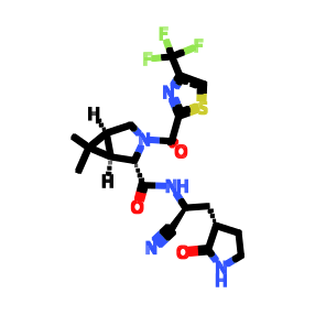 CC1(C)[C@@H]2[C@@H](C(=O)N[C@H](C#N)C[C@@H]3CCNC3=O)N(C(=O)c3nc(C(F)(F)F)cs3)C[C@@H]21